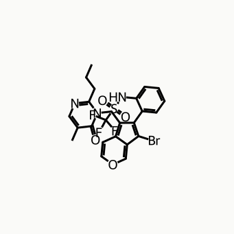 CCCc1ncc(C)c(=O)n1Cc1c2ccocc-2c(Br)c1-c1ccccc1NS(=O)(=O)C(F)(F)F